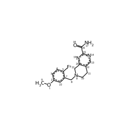 COc1ccc(F)c(CN2CCc3[c]nc(C(N)=O)nc3C2)c1